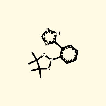 CC1(C)OB(c2ccccc2-c2nnn[nH]2)OC1(C)C